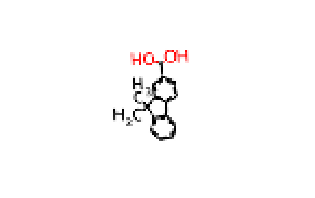 CC1(C)c2ccccc2-c2ccc(C(O)O)cc21